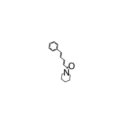 O=C(C=CC=Cc1ccccc1)N1CCCCC1